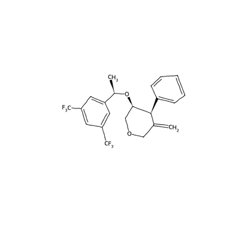 C=C1COC[C@@H](O[C@H](C)c2cc(C(F)(F)F)cc(C(F)(F)F)c2)[C@H]1c1ccccc1